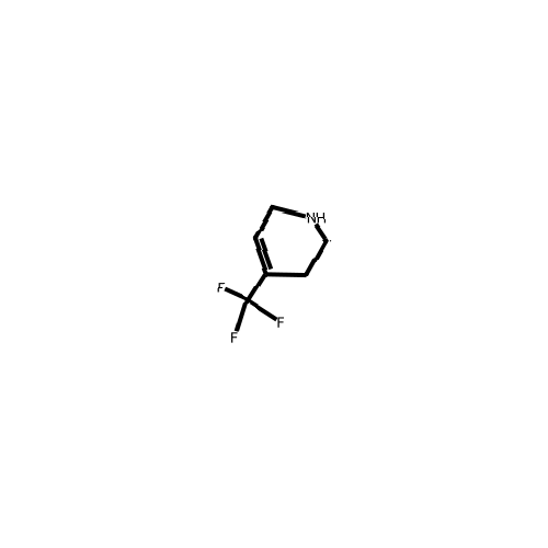 FC(F)(F)C1=CCN[CH]C1